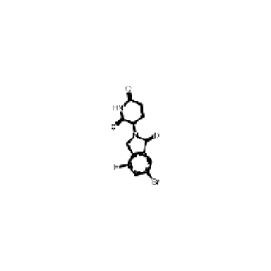 O=C1CCC(N2Cc3c(F)cc(Br)cc3C2=O)C(=O)N1